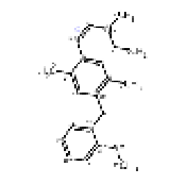 CCN(C)/C=N\c1cc(C)c(Cc2ccccc2SC)cc1C